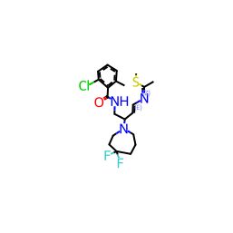 CS/C(C)=N\C=C\C(CNC(=O)c1c(C)cccc1Cl)N1CCCC(F)(F)CC1